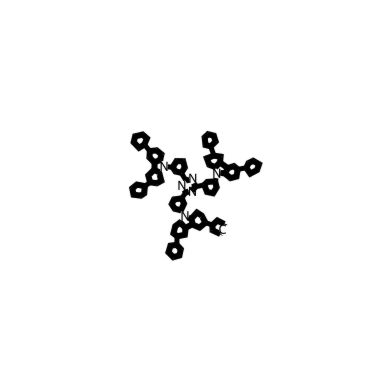 c1ccc(-c2ccc3c(c2)c2cc(-c4ccccc4)ccc2n3-c2cccc(-c3nc(-c4cccc(-n5c6ccc(-c7ccccc7)cc6c6cc(-c7ccccc7)ccc65)c4)nc(-c4cccc(-n5c6ccc(-c7ccccc7)cc6c6cc(-c7ccccc7)ccc65)c4)n3)c2)cc1